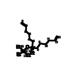 C=CCCCC[Si](CC)(CCCCC=C)O[Si](CC)(CC)CC